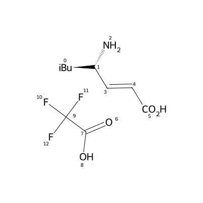 CC[C@H](C)[C@H](N)C=CC(=O)O.O=C(O)C(F)(F)F